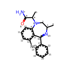 CC1CN(C(C)C(N)=O)c2cccc([N+](=O)[O-])c2C(c2ccccc2)=N1